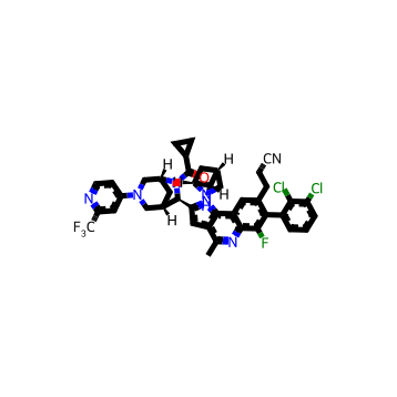 Cc1nc2c(F)c(-c3cccc(Cl)c3Cl)c(CCC#N)cc2c2c1cc([C@H]1[C@H]3C[C@H](CN(c4ccnc(C(F)(F)F)c4)C3)N1C(=O)C1CC1)n2[C@H]1[C@H]2CN[C@@H]1C2